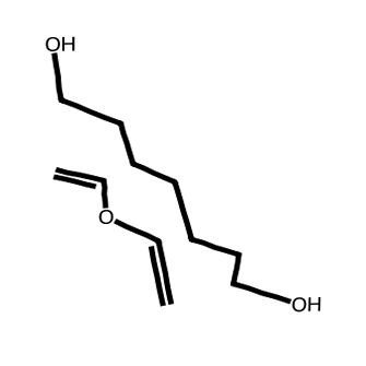 C=COC=C.OCCCCCCCO